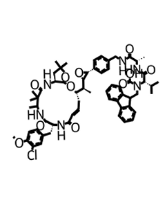 COc1ccc(C[C@H]2NC(=O)/C=C/C[C@@H]([C@H](C)[C@H]3O[C@@H]3c3ccc(CNC(=O)[C@H](C)NC(=O)[C@H](C(C)C)N(CC4c5ccccc5-c5ccccc54)C(=O)O)cc3)OC(=O)[C@H](CC(C)(C)C)NC(=O)C(C)(C)C(C)NC2=O)cc1Cl